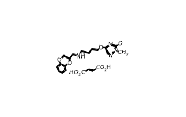 Cn1ncc(OCCCCNCC2COc3ccccc3O2)nc1=O.O=C(O)C=CC(=O)O